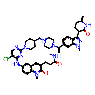 C=C1CCC(c2nn(C)c3cc(C(=C)N4CCN(CC5CCN(c6ncc(Cl)c(Nc7ccc8c(c7)cc(CCC(=O)NC)c(=O)n8C)n6)CC5)CC4)ccc23)C(=O)N1